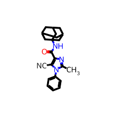 Cc1nc(C(=O)NC23CC4CC(CC(C4)C2)C3)c(C#N)n1-c1ccccc1